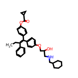 CCC(=C(c1ccc(OCC(O)CNCC2CCCCC2)cc1)c1ccc(OC(=O)C2CC2)cc1)c1ccccc1